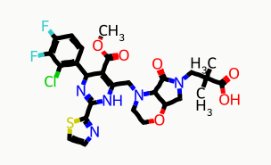 COC(=O)C1=C(CN2CCOC3CN(CC(C)(C)C(=O)O)C(=O)C32)NC(c2nccs2)=NC1c1ccc(F)c(F)c1Cl